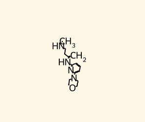 C=C(CCNC)Nc1cccc(N2CCOCC2)n1